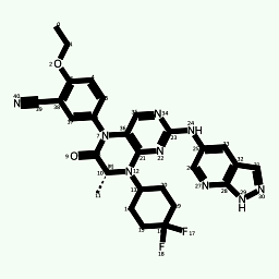 CCOc1ccc(N2C(=O)[C@@H](C)N(C3CCC(F)(F)CC3)c3nc(Nc4cnc5[nH]ncc5c4)ncc32)cc1C#N